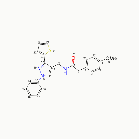 COc1ccc(CC(=O)NCc2cn(-c3ccccc3)nc2-c2cccs2)cc1